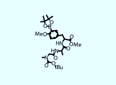 COC(=O)C(Cc1ccc(OC)c(B2OC(C)(C)C(C)(C)O2)c1)NC(=O)C(C)NC(=O)CN(C)C(=O)OC(C)(C)C